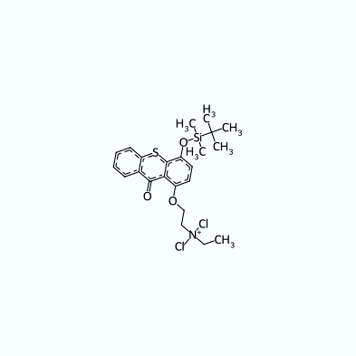 CC[N+](Cl)(Cl)CCOc1ccc(O[Si](C)(C)C(C)(C)C)c2sc3ccccc3c(=O)c12